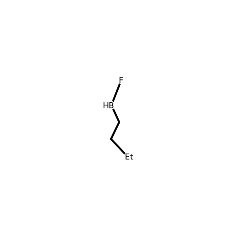 CCCCBF